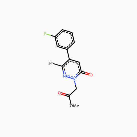 COC(=O)Cn1nc(C(C)C)c(-c2cccc(F)c2)cc1=O